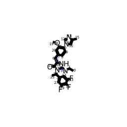 CC/N=C1\N/C(=C\c2ccc(-n3cnc(C)c3)c(OC)c2)C(=O)N1C(C)c1cc(F)c(F)c(F)c1